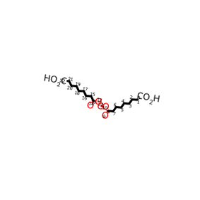 O=C(O)CCCCCCCC(=O)OOOC(=O)CCCCCCCC(=O)O